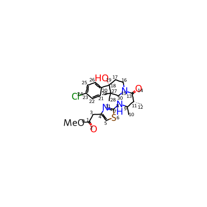 COC(=O)Cc1csc(NC(C)[C@@H](C)C(=O)N2CC[C@](O)(c3ccc(Cl)cc3)C(C)(C)C2)n1